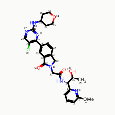 COc1cccc([C@H](NC(=O)CN2Cc3ccc(-c4nc(NC5CCOCC5)ncc4Cl)cc3C2=O)[C@H](C)O)n1